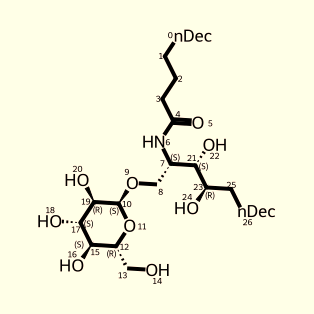 CCCCCCCCCCCCCC(=O)N[C@@H](CO[C@H]1O[C@H](CO)[C@@H](O)[C@H](O)[C@H]1O)[C@H](O)[C@H](O)CCCCCCCCCCC